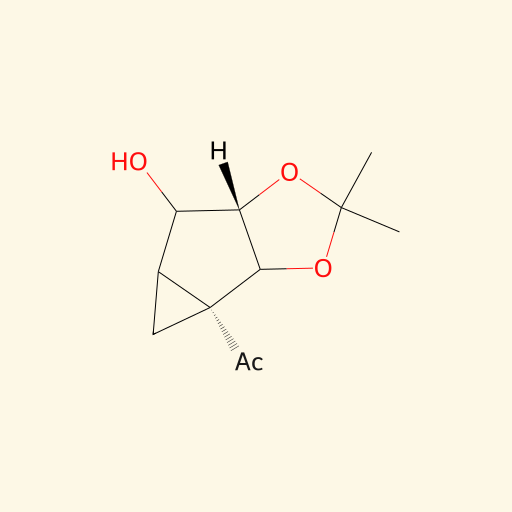 CC(=O)[C@]12CC1C(O)[C@@H]1OC(C)(C)OC12